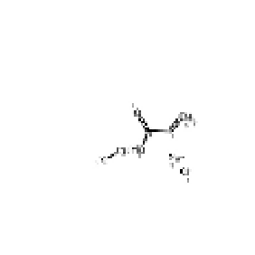 C=CC(=O)O.[Cl-].[Cl][K].[Na+]